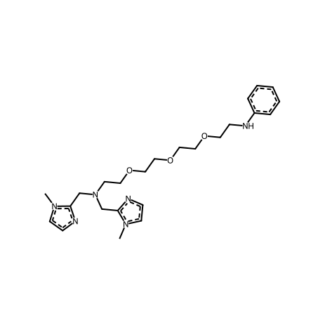 Cn1ccnc1CN(CCOCCOCCOCCNc1ccccc1)Cc1nccn1C